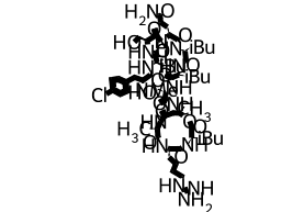 CC[C@H](C)[C@H](NC(=O)[C@@H](Cc1ccc(Cl)cc1)NC)C(=O)N[C@@H](CO)C(=O)N[C@H](CCC(N)=O)C(=O)N[C@@H](C(=O)N[C@H](C(=O)N[C@@H](CO)C(=O)N[C@H]1C(=O)N[C@@H](C)C(=O)N[C@@H](CCCCNC(=N)N)C(=O)N[C@@H]([C@@H](C)CC)C(=O)O[C@H]1C)[C@@H](C)CC)[C@@H](C)CC